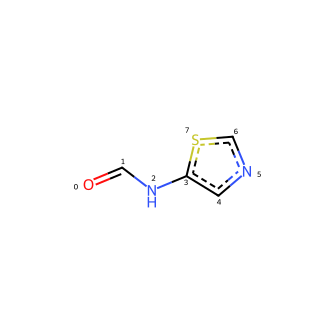 O=CNc1cncs1